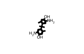 Cc1cc(O)c(N)cc1C(C)(C)c1cc(N)c(O)cc1C